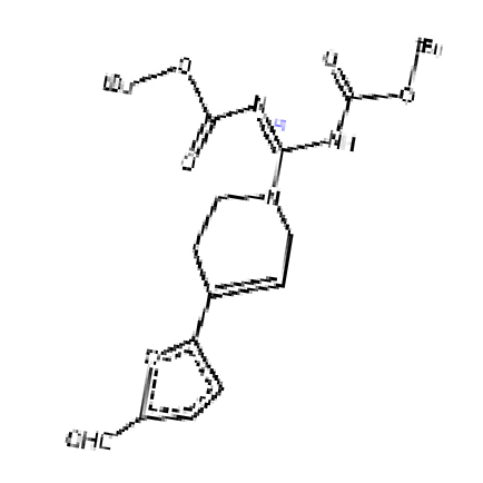 CC(C)(C)OC(=O)/N=C(/NC(=O)OC(C)(C)C)N1CC=C(c2ccc(C=O)o2)CC1